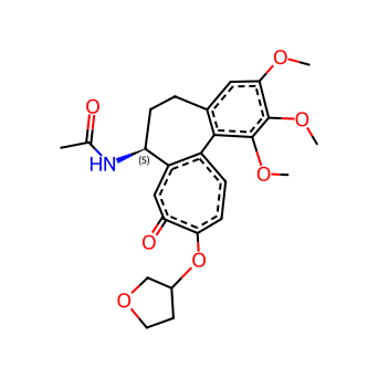 COc1cc2c(c(OC)c1OC)-c1ccc(OC3CCOC3)c(=O)cc1[C@@H](NC(C)=O)CC2